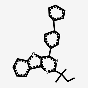 CCC(C)(C)c1nc(-c2ccc(-c3ccccc3)cc2)c2oc3ccccc3c2n1